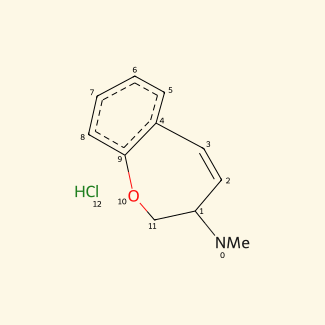 CNC1C=Cc2ccccc2OC1.Cl